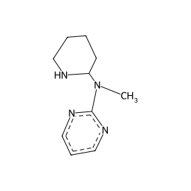 CN(c1ncccn1)C1CCCCN1